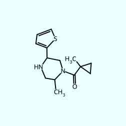 CC1CNC(c2cccs2)CN1C(=O)C1(C)CC1